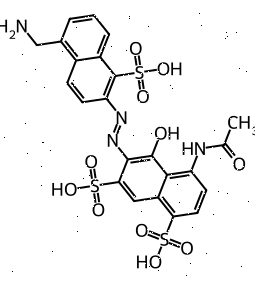 CC(=O)Nc1ccc(S(=O)(=O)O)c2cc(S(=O)(=O)O)c(N=Nc3ccc4c(CN)cccc4c3S(=O)(=O)O)c(O)c12